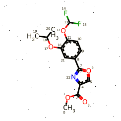 COC(=O)c1coc(-c2ccc(OC(F)F)c(OC(C)C)c2)n1